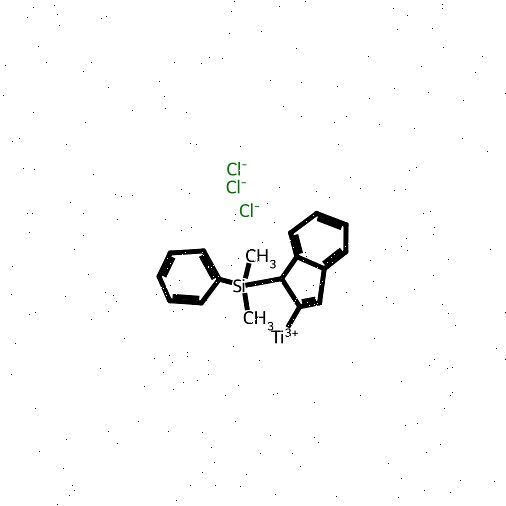 C[Si](C)(c1ccccc1)C1[C]([Ti+3])=Cc2ccccc21.[Cl-].[Cl-].[Cl-]